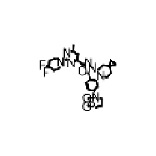 Cc1cc(-c2nnc(-c3ccc(N4CCCS4(=O)=O)cc3N3CCC4(CC3)CC4)o2)nc(N2CCC(F)(F)CC2)n1